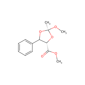 COC(=O)[C@H]1O[C@](C)(OC)OC1c1ccccc1